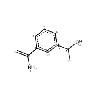 C=C(N)c1ccc[n+](C(C)O)c1